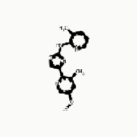 CCOc1cnc(-c2csc(Nc3ncccc3C)n2)c(C)c1